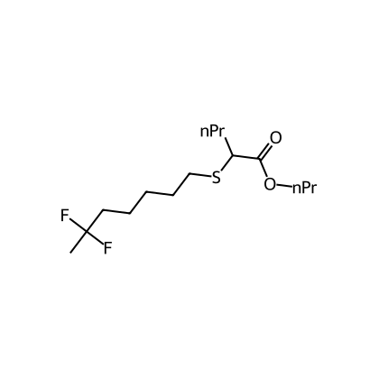 CCCOC(=O)C(CCC)SCCCCCC(C)(F)F